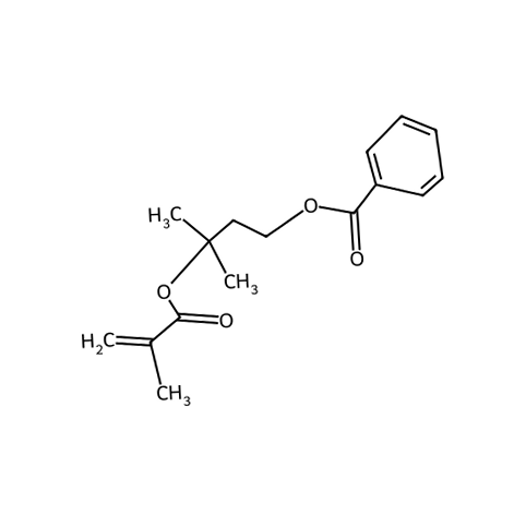 C=C(C)C(=O)OC(C)(C)CCOC(=O)c1ccccc1